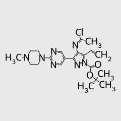 C=Cc1c(/N=C(\C)Cl)c(-c2cnc(N3CCN(C)CC3)nc2)nn1C(=O)OC(C)(C)C